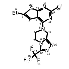 CCc1cc2c(N3CCn4c(nnc4C(F)(F)C(F)(F)F)C3)nc(Cl)nc2s1